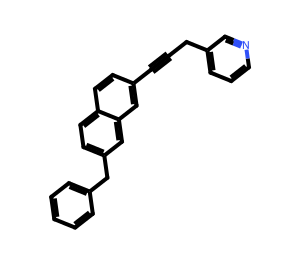 C(#Cc1ccc2ccc(Cc3ccccc3)cc2c1)Cc1cccnc1